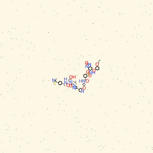 CCCOc1cccc(Oc2cc3c(cc2NS(=O)(=O)c2cccc(C(=O)N[C@H]4C[C@@H](Oc5cc(-c6cnn([C@H](C(=O)N7C[C@H](O)C[C@H]7C(=O)N[C@@H](C)c7ccc(-c8scnc8C)cc7)C(C)(C)C)c6)ccn5)C4)c2)n(C)c(=O)n3C)c1